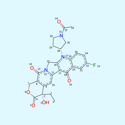 CC[C@@]1(O)C(=O)OCc2c1cc1n(c2=O)Cc2c-1c(=O)c1cc(F)ccc1n2[C@@H]1CCN(C(C)=O)C1